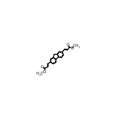 COC(=O)/C=C/c1ccc2c(c1)Cc1cc(/C=C/C(=O)OC)ccc1-2